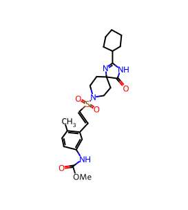 COC(=O)Nc1ccc(C)c(/C=C/S(=O)(=O)N2CCC3(CC2)N=C(C2CCCCC2)NC3=O)c1